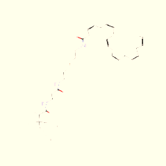 CC/C=C\C/C=C\C/C=C\C/C=C\C/C=C\C/C=C\CC(=O)NCCSSCCNC(=O)CCNC(=O)[C@H](O)C(C)(C)COC(C)(C)C